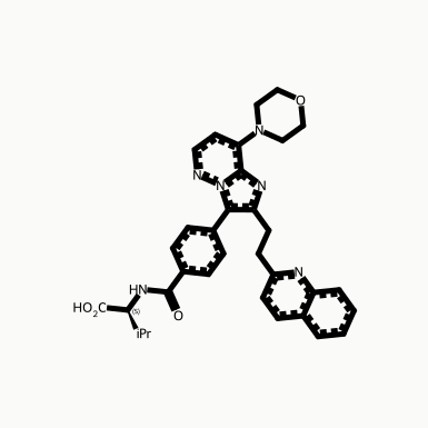 CC(C)[C@H](NC(=O)c1ccc(-c2c(CCc3ccc4ccccc4n3)nc3c(N4CCOCC4)ccnn23)cc1)C(=O)O